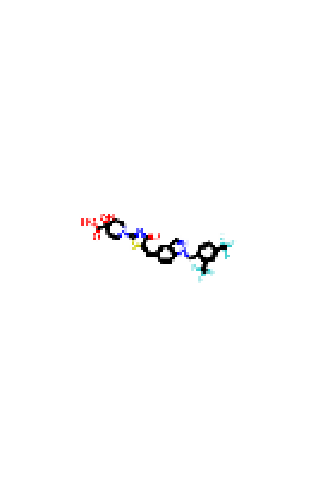 O=C1N=C(N2CCC(O)(C(=O)O)CC2)SC1=Cc1ccc2c(cnn2Cc2ccc(C(F)(F)F)cc2C(F)(F)F)c1